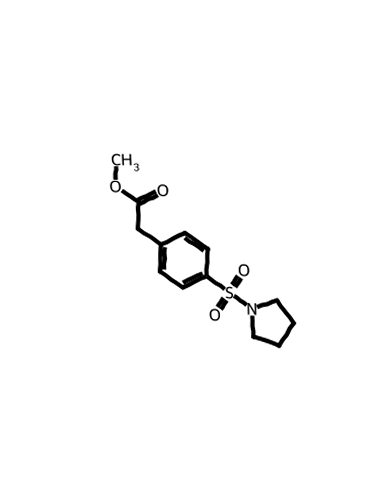 COC(=O)Cc1ccc(S(=O)(=O)N2CCCC2)cc1